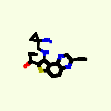 COC(=O)c1sc2ccc3nc(OC)cnc3c2c1NCC1(N)CC1